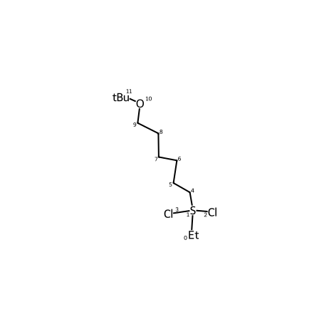 CCS(Cl)(Cl)CCCCCCOC(C)(C)C